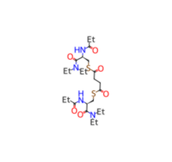 CCC(=O)N[C@@H](CSC(=O)CCC(=O)SC[C@H](NC(=O)CC)C(=O)N(CC)CC)C(=O)N(CC)CC